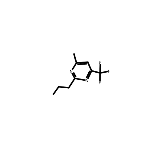 CCCc1nc(C)cc(C(F)(F)F)n1